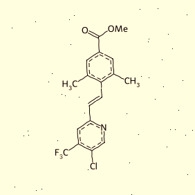 COC(=O)c1cc(C)c(/C=C/c2cc(C(F)(F)F)c(Cl)cn2)c(C)c1